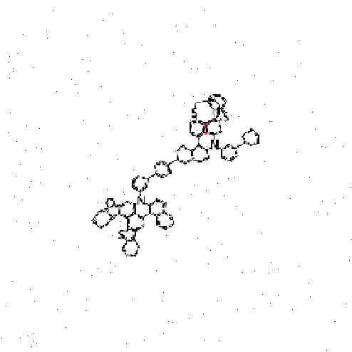 C1=C\CSc2ccc(-c3c(N(c4cccc(-c5ccccc5)c4)c4ccc5c(c4)sc4ccccc45)ccc4cc(-c5ccc(-c6cccc(N(c7ccc8c(c7)oc7ccccc78)c7ccc8ccccc8c7-c7ccc8sc9ccccc9c8c7)c6)cc5)ccc34)cc2C\C=C/1